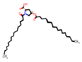 CCCCCCCCCCCCCCCC(=O)O[C@@H]1C[C@@H](C(=O)O)N(C(=O)CCCCCCCCCCCCCCC)C1